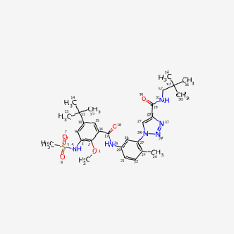 COc1c(NS(C)(=O)=O)cc(C(C)(C)C)cc1C(=O)Nc1ccc(C)c(-n2cc(C(=O)NCC(C)(C)C)nn2)c1